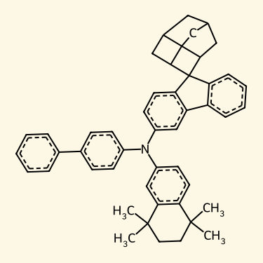 CC1(C)CCC(C)(C)c2cc(N(c3ccc(-c4ccccc4)cc3)c3ccc4c(c3)-c3ccccc3C43C4CC5CC6CC3C64C5)ccc21